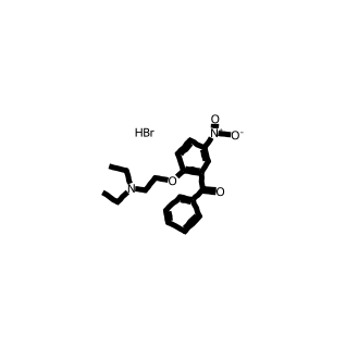 Br.CCN(CC)CCOc1ccc([N+](=O)[O-])cc1C(=O)c1ccccc1